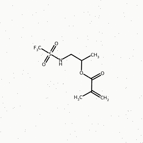 C=C(C)C(=O)OC(C)CNS(=O)(=O)C(F)(F)F